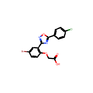 O=C(O)COc1ccc(Br)cc1-c1noc(-c2ccc(Cl)cc2)n1